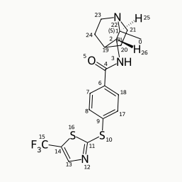 C[C@H]1[C@H](NC(=O)c2ccc(Sc3ncc(C(F)(F)F)s3)cc2)C2CCN1CC2